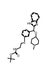 CN1CCC(OC(c2cccc(SCCNC(=O)OC(C)(C)C)c2)c2nc3ccccc3[nH]2)CC1